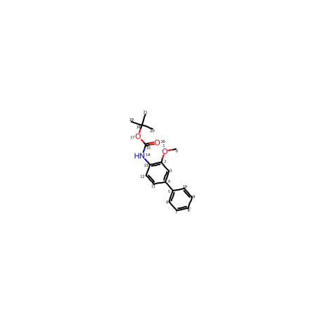 COc1cc(-c2cc[c]cc2)ccc1NC(=O)OC(C)(C)C